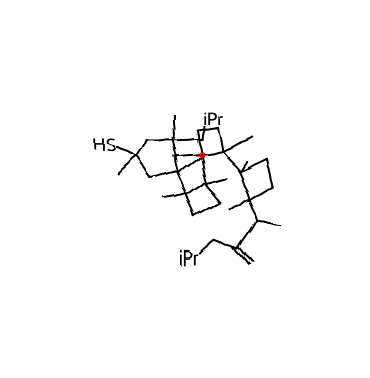 C=C(CC(C)C)C(C)C1(C)CCC1(C)C1(C)CCC1(C)C1(C)CCC1(C)C1(C)CC(C)(S)CC1(C)CC(C)C